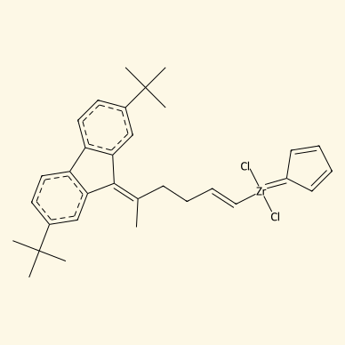 CC(CCC=[CH][Zr]([Cl])([Cl])=[C]1C=CC=C1)=C1c2cc(C(C)(C)C)ccc2-c2ccc(C(C)(C)C)cc21